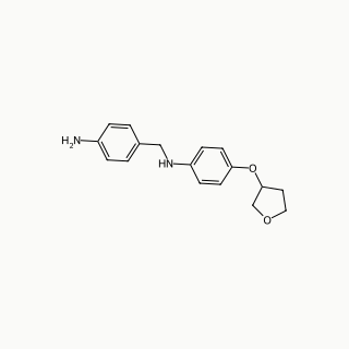 Nc1ccc(CNc2ccc(OC3CCOC3)cc2)cc1